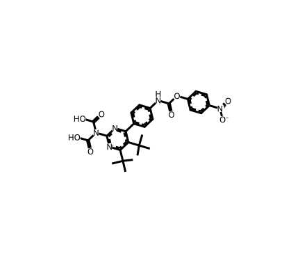 CC(C)(C)c1nc(N(C(=O)O)C(=O)O)nc(-c2ccc(NC(=O)Oc3ccc([N+](=O)[O-])cc3)cc2)c1C(C)(C)C